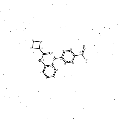 O=C(Nc1ncccc1Oc1ccc([N+](=O)[O-])cc1)C1CCC1